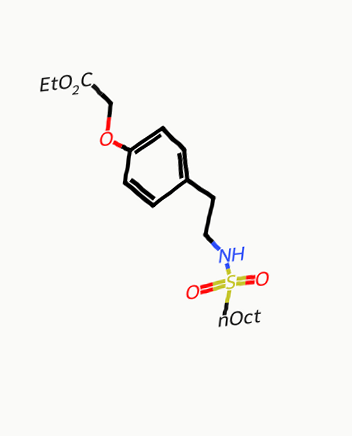 CCCCCCCCS(=O)(=O)NCCc1ccc(OCC(=O)OCC)cc1